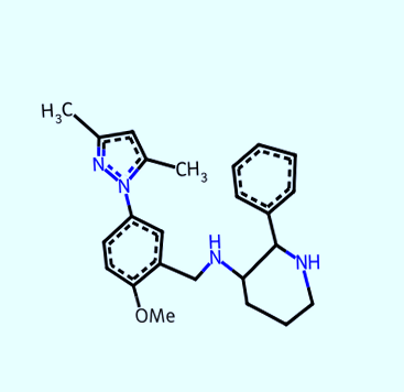 COc1ccc(-n2nc(C)cc2C)cc1CNC1CCCNC1c1ccccc1